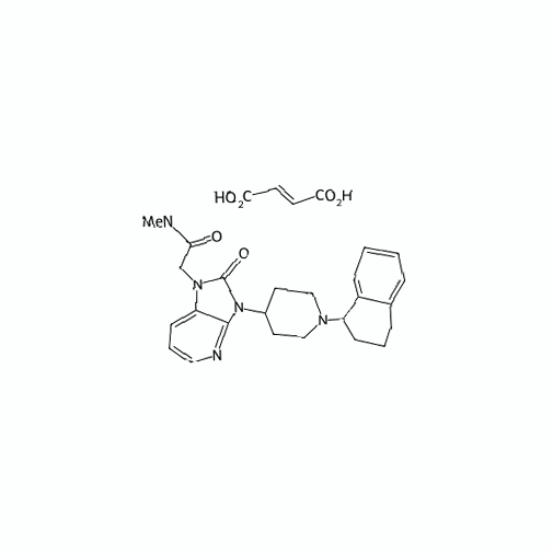 CNC(=O)Cn1c(=O)n(C2CCN(C3CCCc4ccccc43)CC2)c2ncccc21.O=C(O)C=CC(=O)O